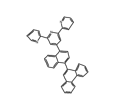 c1ccc(-c2cc(-c3ccc(-c4cc5ccccc5c5ccccc45)c4ccccc34)cc(-c3ccccn3)n2)nc1